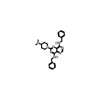 CN(C)C1CCN(c2nc(NCc3ccccc3)c3ncnc(NCc4ccccc4)c3n2)CC1